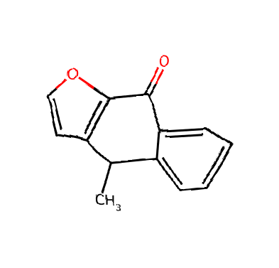 CC1c2ccccc2C(=O)c2occc21